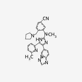 Cc1cccc(-c2[nH]c(N(C)c3cc(C#N)ccc3CN3CCCC3)nc2-c2ccc3ncnn3c2)n1